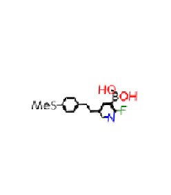 CSc1ccc(CCc2cnc(F)c(B(O)O)c2)cc1